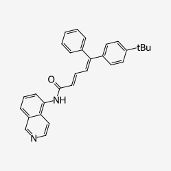 CC(C)(C)c1ccc(C(=CC=CC(=O)Nc2cccc3cnccc23)c2ccccc2)cc1